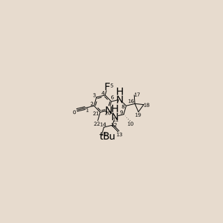 C#Cc1cc(F)c(NC([C@H](C)NC(=C)CC(C)(C)C)C2(C)CC2)nc1C